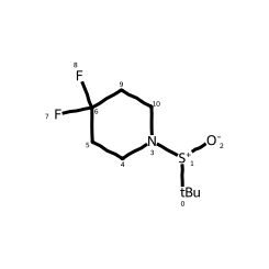 CC(C)(C)[S+]([O-])N1CCC(F)(F)CC1